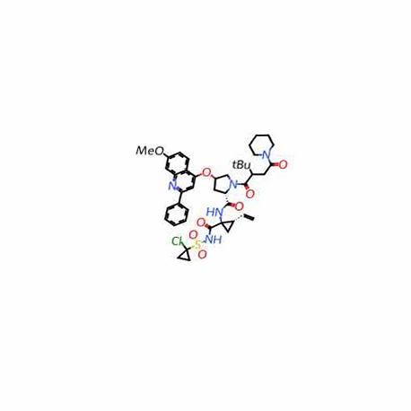 C=C[C@@H]1C[C@]1(NC(=O)[C@@H]1C[C@@H](Oc2cc(-c3ccccc3)nc3cc(OC)ccc23)CN1C(=O)C(CC(=O)N1CCCCC1)C(C)(C)C)C(=O)NS(=O)(=O)C1(Cl)CC1